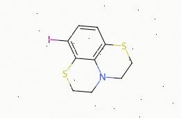 Ic1ccc2c3c1SCCN3CCS2